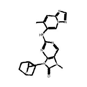 Cc1cc2ncnn2cc1Nc1ncc2c(n1)n(C1CC3CCC1CC3)c(=O)n2C